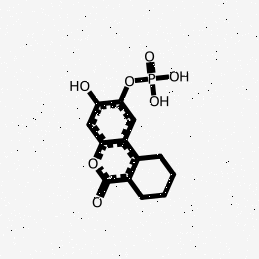 O=c1oc2cc(O)c(OP(=O)(O)O)cc2c2c1CCCC2